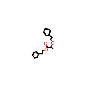 CC(OC=Cc1ccccc1)C(=O)OCCc1ccccc1